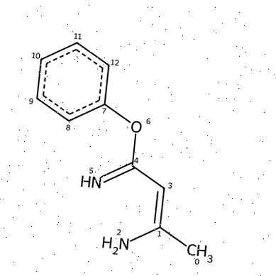 C/C(N)=C/C(=N)Oc1ccccc1